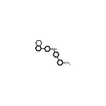 Cc1cccc(-c2ccc(Nc3ccc(-c4cccc5c4CCCC5)cc3)cc2)c1